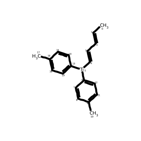 CC=CC=[CH][Ti]([c]1ccc(C)cc1)[c]1ccc(C)cc1